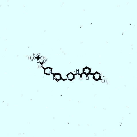 Cc1ccc(-c2cccc(C(=O)NC3CCN(Cc4ccc(N5CCC(NC(=O)OC(C)(C)C)CC5)nc4)CC3)c2Cl)cn1